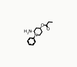 CCC(=O)O[C@H]1CCN(c2ccccc2)[C@H](N)C1